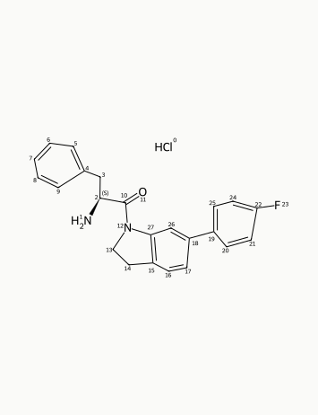 Cl.N[C@@H](Cc1ccccc1)C(=O)N1CCc2ccc(-c3ccc(F)cc3)cc21